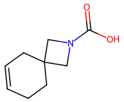 O=C(O)N1CC2(CC=CCC2)C1